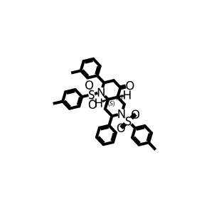 Cc1ccc(S(=O)(=O)N2C[C@H]3C(=O)CC(c4cccc(C)c4)N(S(=O)(=O)c4ccc(C)cc4)[C@H]3CC2c2ccccc2)cc1